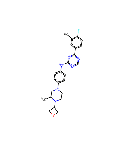 CC1CN(c2ccc(Nc3ncnc(-c4ccc(F)c(C#N)c4)n3)cc2)CCN1C1COC1